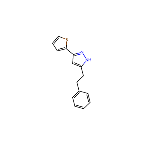 c1ccc(CCc2cc(-c3cccs3)n[nH]2)cc1